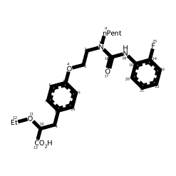 CCCCCN(CCOc1ccc(CC(OCC)C(=O)O)cc1)C(=O)Nc1ccccc1F